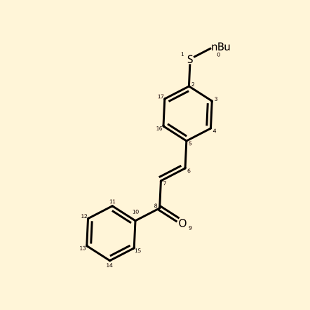 CCCCSc1ccc(C=CC(=O)c2ccccc2)cc1